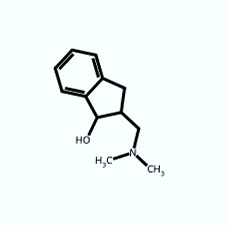 CN(C)CC1Cc2ccccc2C1O